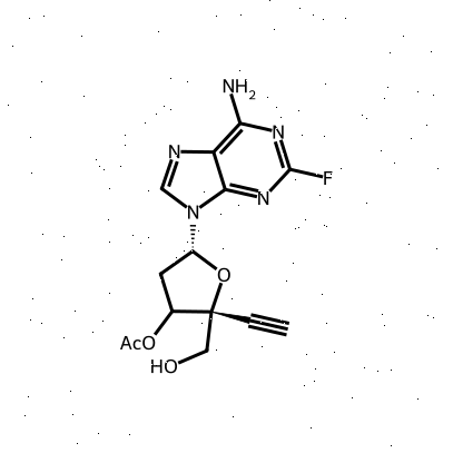 C#C[C@]1(CO)O[C@@H](n2cnc3c(N)nc(F)nc32)CC1OC(C)=O